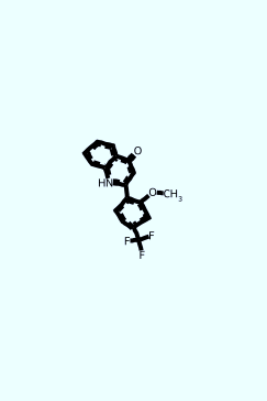 COc1cc(C(F)(F)F)ccc1-c1cc(=O)c2ccccc2[nH]1